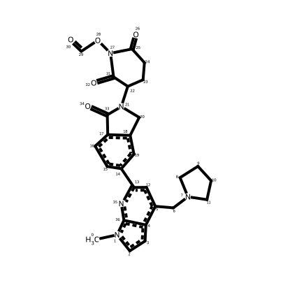 Cn1ccc2c(CN3CCCC3)cc(-c3ccc4c(c3)CN(C3CCC(=O)N(OC=O)C3=O)C4=O)nc21